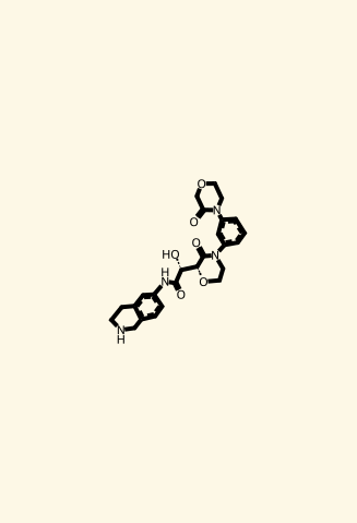 O=C(Nc1ccc2c(c1)CCNC2)[C@H](O)[C@H]1OCCN(c2cccc(N3CCOCC3=O)c2)C1=O